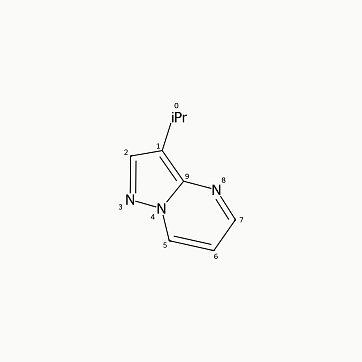 CC(C)c1cnn2cccnc12